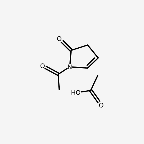 CC(=O)N1C=CCC1=O.CC(=O)O